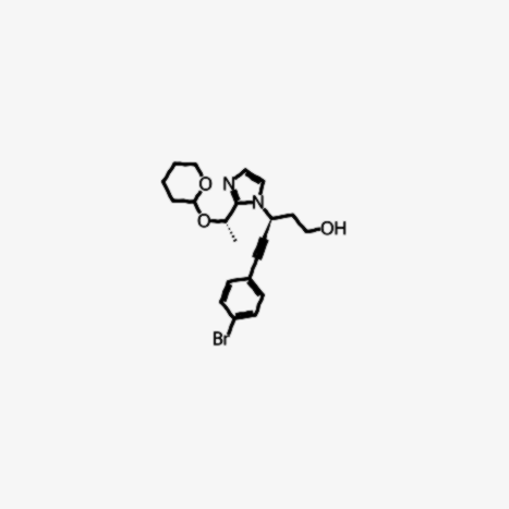 C[C@H](OC1CCCCO1)c1nccn1[C@H](C#Cc1ccc(Br)cc1)CCO